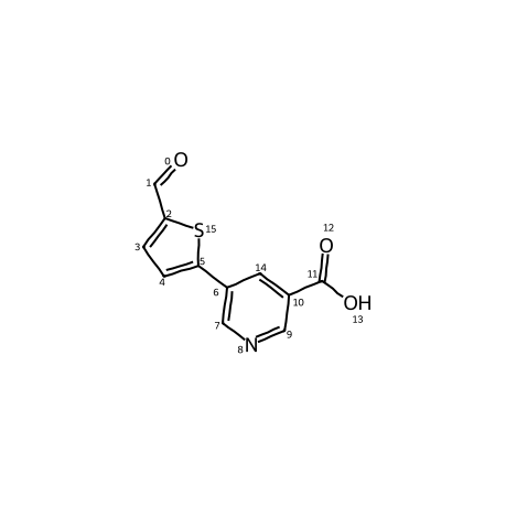 O=Cc1ccc(-c2cncc(C(=O)O)c2)s1